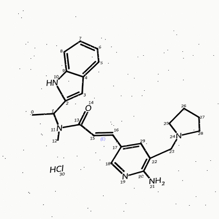 CC(c1cc2ccccc2[nH]1)N(C)C(=O)/C=C/c1cnc(N)c(CN2CCCC2)c1.Cl